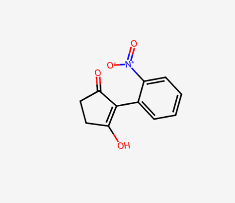 O=C1CCC(O)=C1c1ccccc1[N+](=O)[O-]